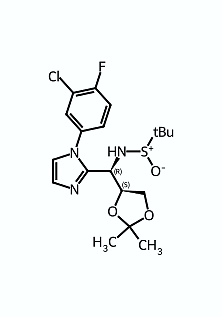 CC1(C)OC[C@H]([C@H](N[S+]([O-])C(C)(C)C)c2nccn2-c2ccc(F)c(Cl)c2)O1